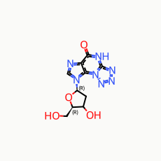 O=c1[nH]c2nnnn2c2c1ncn2[C@H]1CC(O)[C@@H](CO)O1